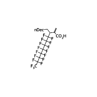 C=C(C(=O)O)C(CCCCCCCCCCC)C(F)(F)C(F)(F)C(F)(F)C(F)(F)C(F)(F)C(F)(F)C(F)(F)C(F)(F)F